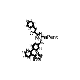 CCCCCc1nc(C(=O)Cc2ccccc2)nn1Cc1ccc(-c2ncccc2-c2nnn[nH]2)cc1